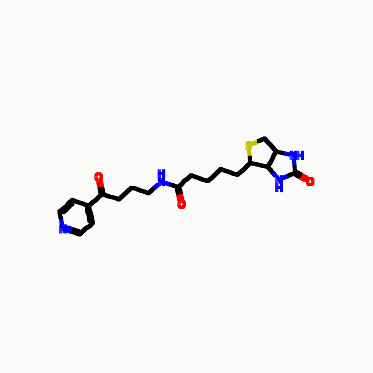 O=C(CCCCC1SCC2NC(=O)NC21)NCCCC(=O)c1ccncc1